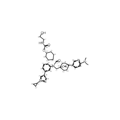 CN(C)c1ccc(C23CCC(CN(c4cccc(-c5cnn(C6CC6)c5)c4)C(=O)[C@H]4CC[C@H](OC(=O)NCCO)CC4)(CC2)CC3)cn1